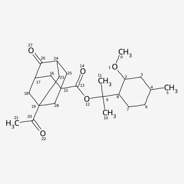 COC1CC(C)CCC1C(C)(C)OC(=O)C12CC3CC(C(C)=O)(CC(C1)C3=O)C2